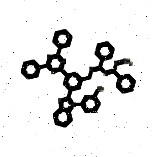 C=N/C(=N\C(=N/Cc1cc(-c2nc(-c3ccccc3)nc(-c3ccccc3)n2)cc(-c2nc3ccccc3n2-c2cccc(C(C)C)c2)c1)c1ccccc1)c1ccccc1